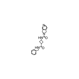 O=C(NCc1ccccc1)C1CC(NC(=O)N2Cc3ccncc3C2)C1